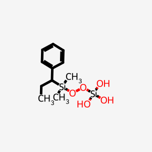 CCC(c1ccccc1)[Si](C)(C)OO[Si](O)(O)O